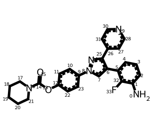 Nc1cccc(-c2cn(-c3ccc(OC(=O)N4CCCCC4)cc3)nc2-c2ccncc2)c1F